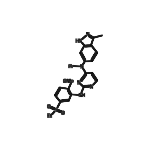 CCS(=O)(=O)c1ccc(OC)c(Nc2nccc(N(c3ccc4c(C)n[nH]c4c3)C(C)C)n2)c1